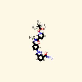 CN(Cc1ccc(-n2cc3cccc(C(N)=O)c3n2)cc1)C(=O)C1CCCN(OC(=O)C(C)(C)C)C1